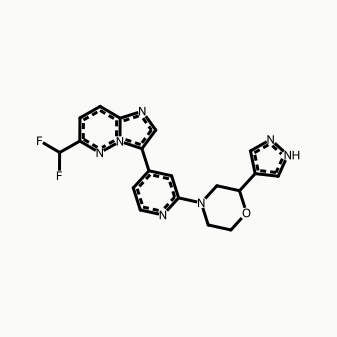 FC(F)c1ccc2ncc(-c3ccnc(N4CCOC(c5cn[nH]c5)C4)c3)n2n1